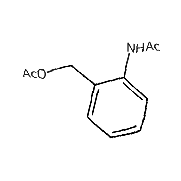 CC(=O)Nc1ccccc1COC(C)=O